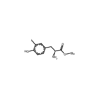 CC(C)(C)OC(=O)[C@@H](N)Cc1ccc(O)c(I)c1